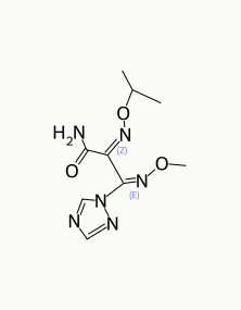 CO/N=C(\C(=N\OC(C)C)C(N)=O)n1cncn1